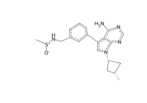 C[S+]([O-])NCc1cccc(-c2cn([C@H]3C[C@@H](C)C3)c3ncnc(N)c23)c1